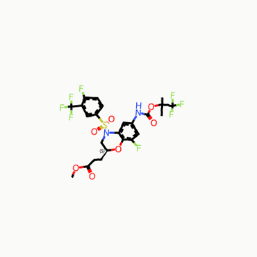 COC(=O)CC[C@H]1CN(S(=O)(=O)c2ccc(F)c(C(F)(F)F)c2)c2cc(NC(=O)OC(C)(C)C(F)(F)F)cc(F)c2O1